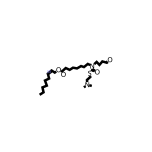 CCCCCC/C=C\COC(=O)CCCCCCCN(CCCC=O)C(=O)SCCN(C)C